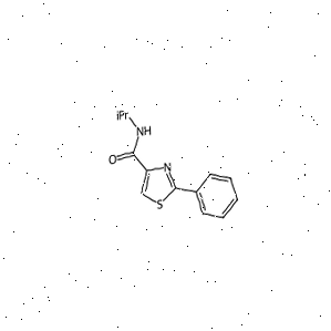 CC(C)NC(=O)c1csc(-c2ccccc2)n1